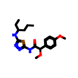 CCCC(CC)Nc1nnc(NC(=O)C(OC)c2ccc(OC)cc2)s1